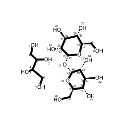 OCC(O)C(O)CO.OC[C@H]1O[C@H](O[C@H]2O[C@H](CO)[C@@H](O)[C@H](O)[C@H]2O)[C@H](O)[C@@H](O)[C@@H]1O